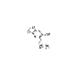 N#Cc1cc2c(cc1C=CC(=O)O)OCO2